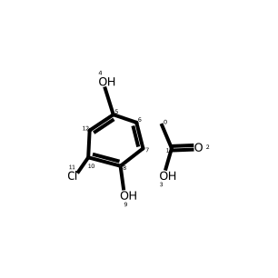 CC(=O)O.Oc1ccc(O)c(Cl)c1